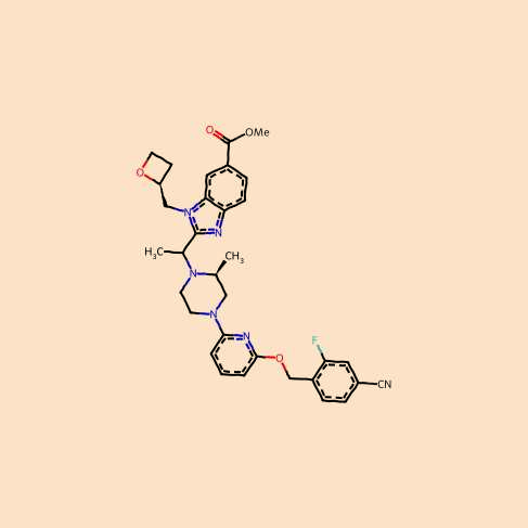 COC(=O)c1ccc2nc(C(C)N3CCN(c4cccc(OCc5ccc(C#N)cc5F)n4)C[C@@H]3C)n(C[C@@H]3CCO3)c2c1